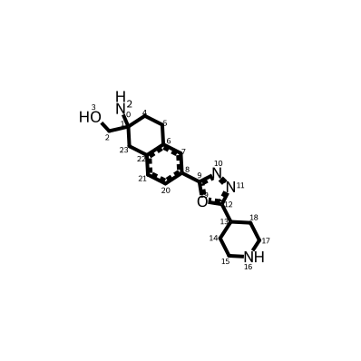 NC1(CO)CCc2cc(-c3nnc(C4CCNCC4)o3)ccc2C1